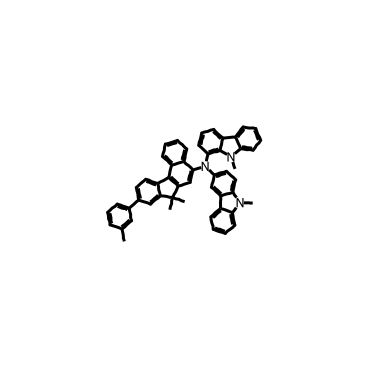 Cc1cccc(-c2ccc3c(c2)C(C)(C)c2cc(N(c4ccc5c(c4)c4ccccc4n5C)c4cccc5c6ccccc6n(C)c45)c4ccccc4c2-3)c1